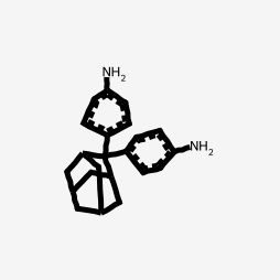 Nc1ccc(C2(c3ccc(N)cc3)C3CC4CC(C3)CC2C4)cc1